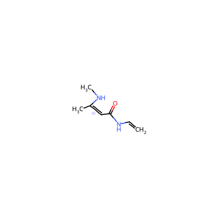 C=CNC(=O)/C=C(/C)NC